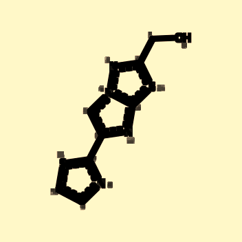 OCc1nn2cc(-c3nccs3)nc2s1